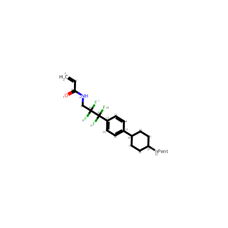 C=CC(=O)NCC(F)(F)C(F)(F)c1ccc(C2CCC(CCCCC)CC2)cc1